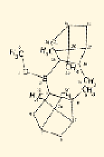 COB(C1CC2CC(C1C)C2(C)C)C1CC2CC(C1C)C2(C)C